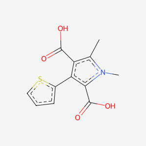 Cc1c(C(=O)O)c(-c2cccs2)c(C(=O)O)n1C